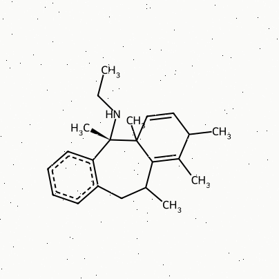 CCN[C@@]1(C)c2ccccc2CC(C)C2=C(C)C(C)C=CC21C